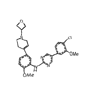 COc1cc(-c2cnc(Nc3cc(C4=CCN(C5COC5)CC4)ccc3OC)nc2)ccc1Cl